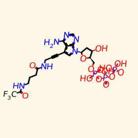 Nc1ncnc2c1c(C#CCNC(=O)CCCNC(=O)C(F)(F)F)cn2[C@H]1C[C@@H](O)[C@@H](COP(=O)(O)OP(=O)(O)OP(=O)(O)O)O1